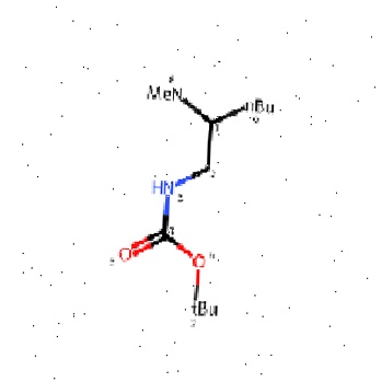 CCCCC(CNC(=O)OC(C)(C)C)NC